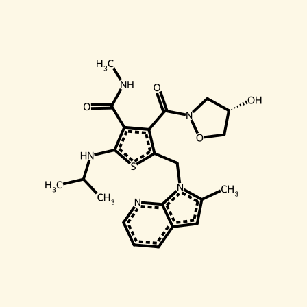 CNC(=O)c1c(NC(C)C)sc(Cn2c(C)cc3cccnc32)c1C(=O)N1C[C@H](O)CO1